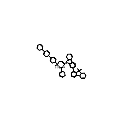 CC1(C2C=CC(C3C=CC(C4C=CC=CC4)=CC3)=CC2)CC=C(n2c3c(c4ccc(-c5cccc6c5C(C)(C)C5CCC=CC65)cc42)C=CCC3)N=C(C2=CC=CCC2)N1